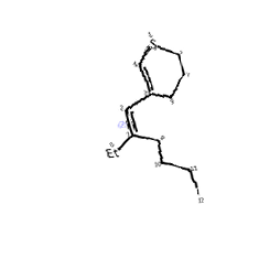 CC/C(=C/C1=CSCCC1)CCCI